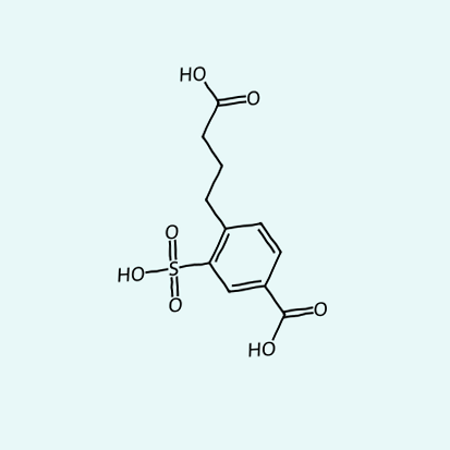 O=C(O)CCCc1ccc(C(=O)O)cc1S(=O)(=O)O